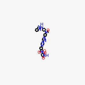 CC(=O)N(c1ccc(N2C=CC(N3CCN(c4ccc5c(c4)C(=O)N(C4CCC(=O)NC4=O)C5=O)CC3)=NC2)cc1)C1CCC(Nc2ncc3ccccc3n2)CC1